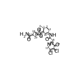 Cc1ccc(NC(=O)Cn2ncc(Cl)c(Cl)c2=O)cc1S(=O)(=O)N1CC(C(N)=O)C1